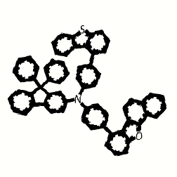 c1ccc(C2(c3ccccc3)c3ccccc3-c3ccc(N(c4ccc(-c5cccc6oc7c8ccccc8ccc7c56)cc4)c4ccc(-c5cccc6sc7ccccc7c56)cc4)cc32)cc1